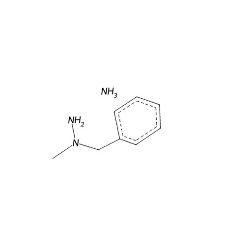 CN(N)Cc1ccccc1.N